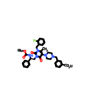 Cc1c(N2CCN(Cc3cccc(C(=O)O)c3)CC2)c(=O)n(C[C@H](NC(=O)OC(C)(C)C)c2ccccc2)c(=O)n1Cc1ccccc1F